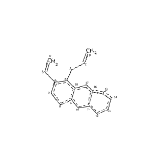 C=CCc1c(C=C)ccc2cc3ccccc3cc12